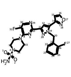 NS(=O)(=O)N1CCN(c2nc(-c3cc(-c4ccon4)n(Cc4ccccc4F)n3)ncc2F)CC1